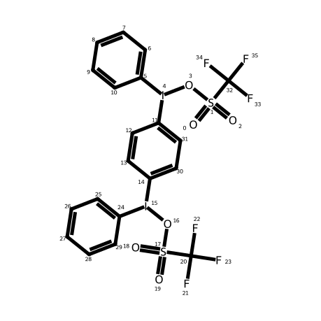 O=S(=O)(OI(c1ccccc1)c1ccc(I(OS(=O)(=O)C(F)(F)F)c2ccccc2)cc1)C(F)(F)F